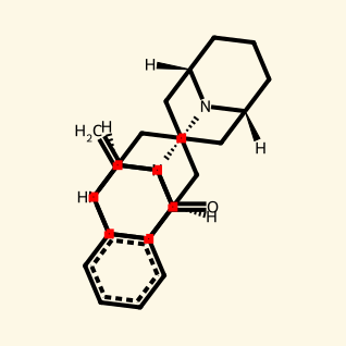 C=C1Nc2ccccc2C(=O)N1[C@H]1C[C@H]2CCC[C@@H](C1)N2[C@H]1C[C@@H]2CCC[C@@H](C2)C1